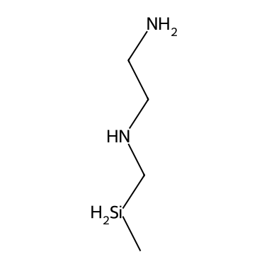 C[SiH2]CNCCN